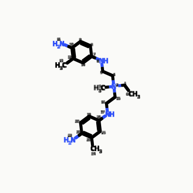 CC[N+](C)(CCNc1ccc(N)c(C)c1)CCNc1ccc(N)c(C)c1